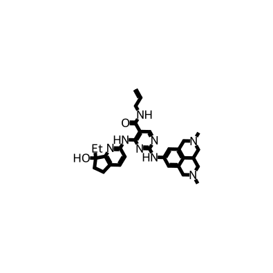 C=CCNC(=O)c1cnc(Nc2cc3c4c(c2)CN(C)CC4CN(C)C3)nc1Nc1ccc2c(n1)C(O)(CC)CC2